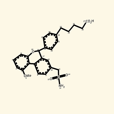 COc1cccc2c1-c1ccc(CS(N)(=O)=O)cc1C(c1ccc(CCCCC(=O)O)cc1)O2